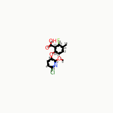 COc1nc(Cl)ccc1Oc1ccc(C)c(F)c1C(=O)O